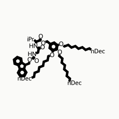 CCCCCCCCCCCCCCCCCCOc1cc(COC(=O)C(NC(=O)CNC(=O)OCC2c3ccccc3-c3ccccc32)C(C)C)cc(OCCCCCCCCCCCCCCCCCC)c1OCCCCCCCCCCCCCCCCCC